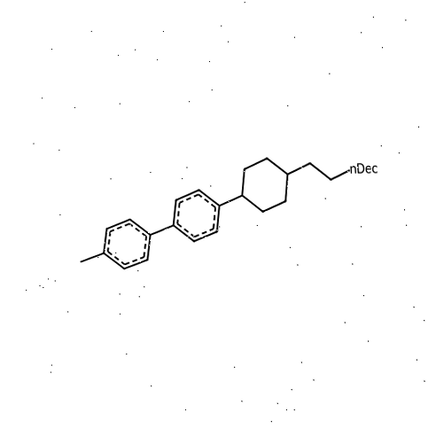 CCCCCCCCCCCCC1CCC(c2ccc(-c3ccc(C)cc3)cc2)CC1